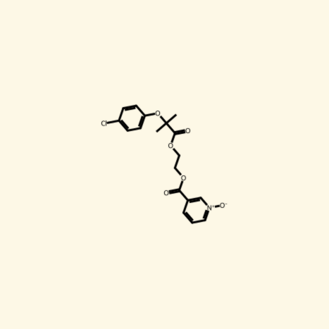 CC(C)(Oc1ccc(Cl)cc1)C(=O)OCCOC(=O)c1ccc[n+]([O-])c1